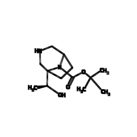 C[C@H](O)C12CCC(CNC1)N2C(=O)OC(C)(C)C